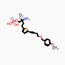 COc1ccc(COCCC#Cc2ccc(CCC(C)(N)COP(=O)(O)O)s2)cc1